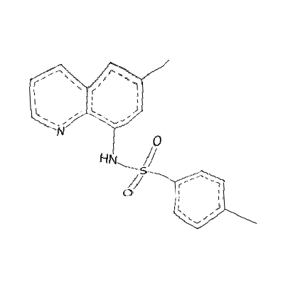 Cc1ccc(S(=O)(=O)Nc2cc(C)cc3cccnc23)cc1